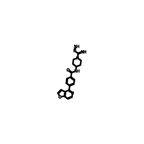 N=NC(=N)N1CCC(NC(=O)c2ccc(-c3nccc4occc34)cc2)CC1